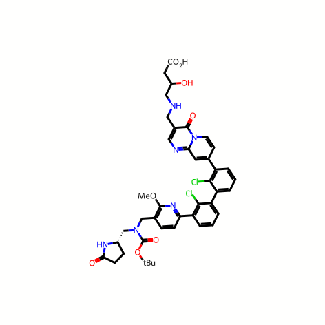 COc1nc(-c2cccc(-c3cccc(-c4ccn5c(=O)c(CNCC(O)CC(=O)O)cnc5c4)c3Cl)c2Cl)ccc1CN(C[C@@H]1CCC(=O)N1)C(=O)OC(C)(C)C